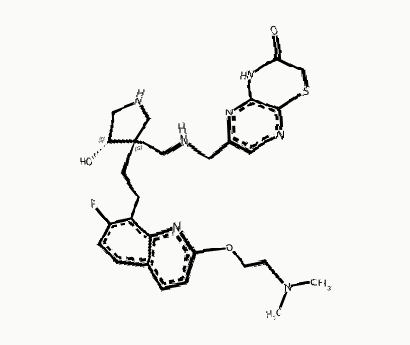 CN(C)CCOc1ccc2ccc(F)c(CC[C@]3(CNCc4cnc5c(n4)NC(=O)CS5)CNC[C@H]3O)c2n1